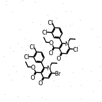 CCOC(=O)c1c(-c2ccc(Cl)c(Cl)c2)n(CC)c(Br)cc1=O.CCOC(=O)c1c(-c2ccc(Cl)c(Cl)c2)n(CC)c(Cl)cc1=O